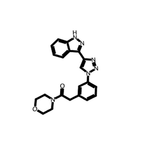 O=C(Cc1cccc(-n2cc(-c3n[nH]c4ccccc34)nn2)c1)N1CCOCC1